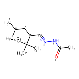 CC(=O)N/N=C/C(CC(C)C)C(C)(C)C